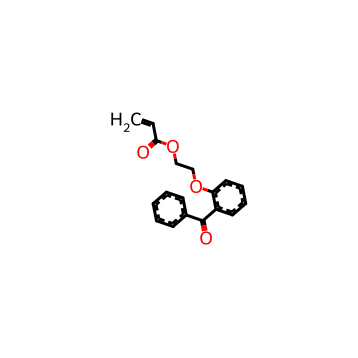 C=CC(=O)OCCOc1ccccc1C(=O)c1ccccc1